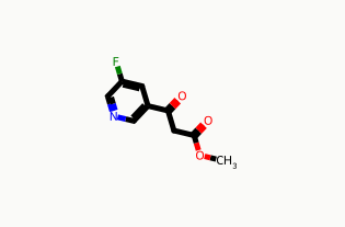 COC(=O)CC(=O)c1cncc(F)c1